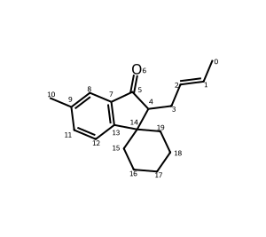 CC=CCC1C(=O)c2cc(C)ccc2C12CCCCC2